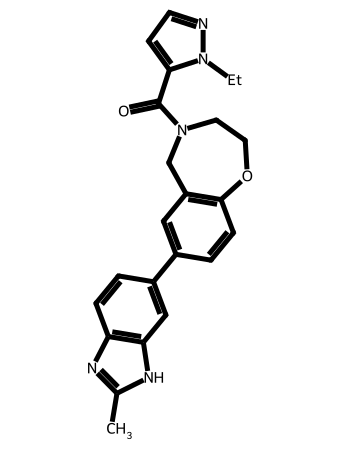 CCn1nccc1C(=O)N1CCOc2ccc(-c3ccc4nc(C)[nH]c4c3)cc2C1